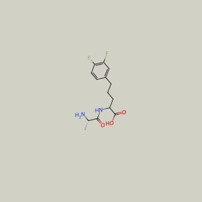 C[C@H](N)C(=O)NC(CCCc1ccc(F)c(F)c1)C(=O)O